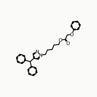 O=C(COc1ccccc1)OCCCCCn1cc(C(c2ccccc2)c2ccccc2)cn1